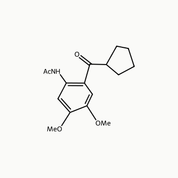 COc1cc(NC(C)=O)c(C(=O)C2CCCC2)cc1OC